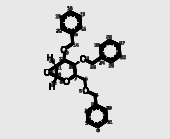 c1ccc(COC[C@H]2O[C@@H]3O[C@H]3[C@@H](OCc3ccccc3)[C@@H]2OCc2ccccc2)cc1